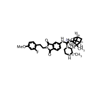 COc1ccc(CCN2C(=O)c3ccc(N/C(=N/[C@H]4C[C@H]5C[C@@H]([C@@H]4C)C5(C)C)N4CCN[C@@H](C)C4)cc3C2=O)c(F)c1